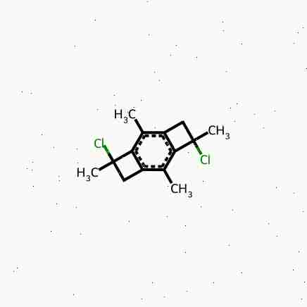 Cc1c2c(c(C)c3c1C(C)(Cl)C3)C(C)(Cl)C2